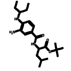 CCC(CC)Nc1ccc(C(=O)NC(CC(C)C)C(=O)OC(C)(C)C)cc1N